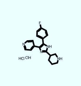 Cl.Cl.Fc1ccc(-c2[nH]c(C3CCCNC3)nc2-c2ccncc2)cc1